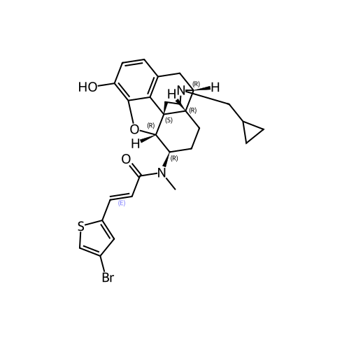 CN(C(=O)/C=C/c1cc(Br)cs1)[C@@H]1CC[C@H]2[C@H]3Cc4ccc(O)c5c4[C@@]2(CCN3CC2CC2)[C@H]1O5